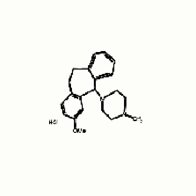 COc1ccc2c(c1)C(N1CCN(C)CC1)c1ccccc1CC2.Cl